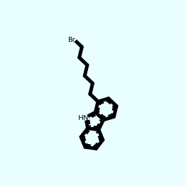 BrCCCCCCc1cccc2c1[nH]c1ccccc12